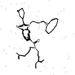 CC(C)CCN(CCC(C)C)C(=O)c1ccc2nc(C3CCCC3)n(CCCN3CCCCC3)c2c1